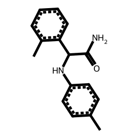 Cc1ccc(NC(C(N)=O)c2ccccc2C)cc1